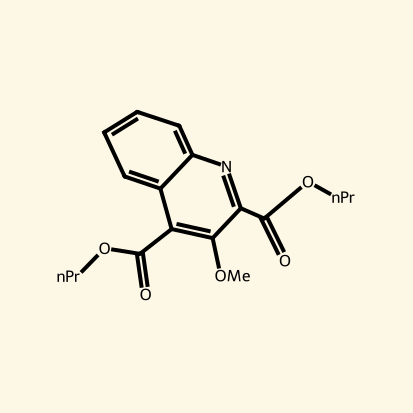 CCCOC(=O)c1nc2ccccc2c(C(=O)OCCC)c1OC